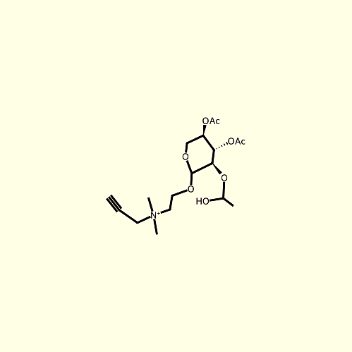 C#CC[N+](C)(C)CCOC1OC[C@@H](OC(C)=O)[C@H](OC(C)=O)[C@H]1OC(C)O